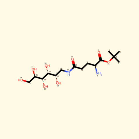 CC(C)(C)OC(=O)[C@@H](N)CCC(=O)NC[C@H](O)[C@@H](O)[C@H](O)[C@H](O)CO